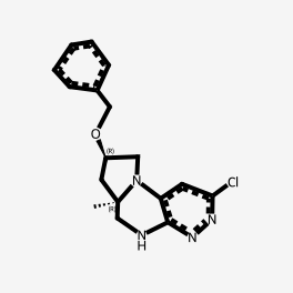 C[C@@]12CNc3nnc(Cl)cc3N1C[C@H](OCc1ccccc1)C2